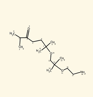 CC(C)C(=O)CCC(C)(C)OCC(C)(C)OCCN